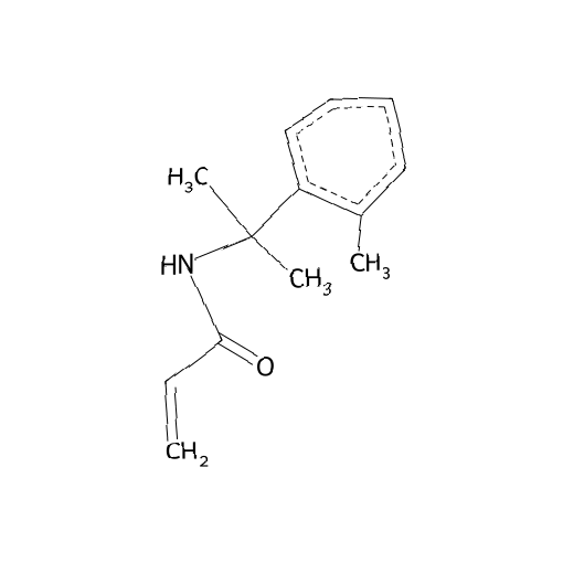 C=CC(=O)NC(C)(C)c1ccccc1C